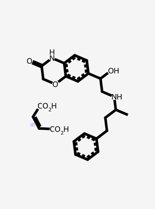 CC(CCc1ccccc1)NCC(O)c1ccc2c(c1)OCC(=O)N2.O=C(O)/C=C\C(=O)O